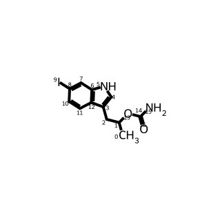 CC(Cc1c[nH]c2cc(I)ccc12)OC(N)=O